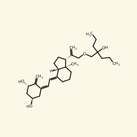 C=C(COCC(O)(CCC)CCC)[C@H]1CC[C@H]2/C(=C/C=C3/C[C@@H](O)C[C@H](O)C3=C)CCC[C@]12C